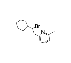 Cc1cccc(CC(Br)C2CCCCC2)n1